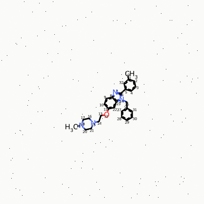 Cc1cccc(-c2nc3ccc(OCCN4CCN(C)CC4)cc3n2Cc2ccccc2)c1